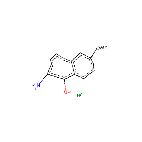 COc1ccc2c(O)c(N)ccc2c1.Cl